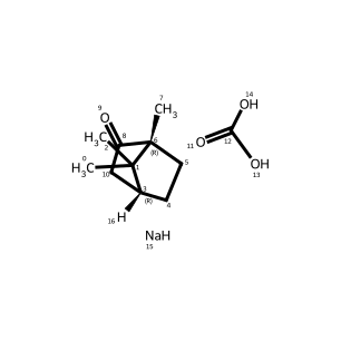 CC1(C)[C@@H]2CC[C@@]1(C)C(=O)C2.O=C(O)O.[NaH]